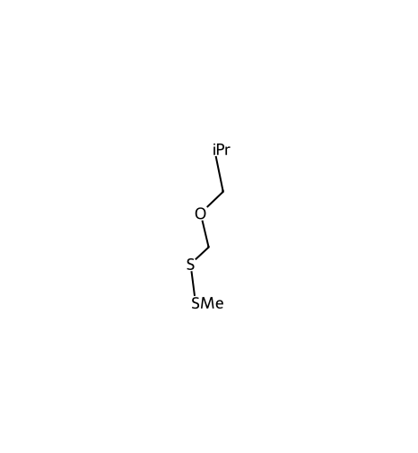 CSSCOCC(C)C